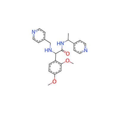 COc1ccc(C(NCc2ccncc2)C(=O)NC(C)c2ccncc2)c(OC)c1